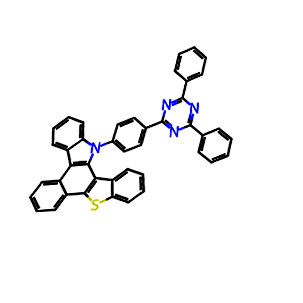 c1ccc(-c2nc(-c3ccccc3)nc(-c3ccc(-n4c5ccccc5c5c6ccccc6c6sc7ccccc7c6c54)cc3)n2)cc1